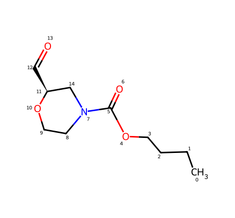 CCCCOC(=O)N1CCO[C@@H](C=O)C1